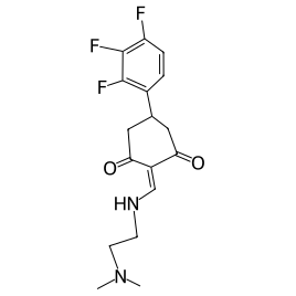 CN(C)CCNC=C1C(=O)CC(c2ccc(F)c(F)c2F)CC1=O